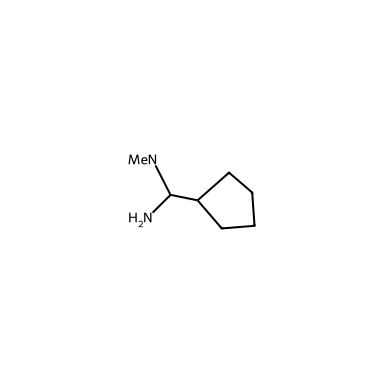 CNC(N)C1CCCC1